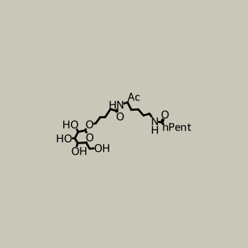 CCCCCC(=O)NCCCC[C@H](NC(=O)CCCCOC1OC(CO)C(O)C(O)C1O)C(C)=O